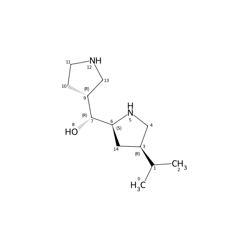 CC(C)[C@@H]1CN[C@H]([C@H](O)[C@@H]2CCNC2)C1